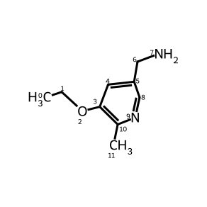 CCOc1cc(CN)cnc1C